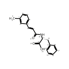 Cc1cccc(/C=C/C(=O)N[C@H](Cc2ccccc2)C(=O)O)c1